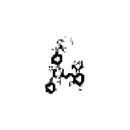 COC(=O)Nc1ccc(NC(=O)[C@H](Cc2ccccc2)NC(=O)C=Cc2c(-n3cnnn3)ccc(Cl)c2F)cc1